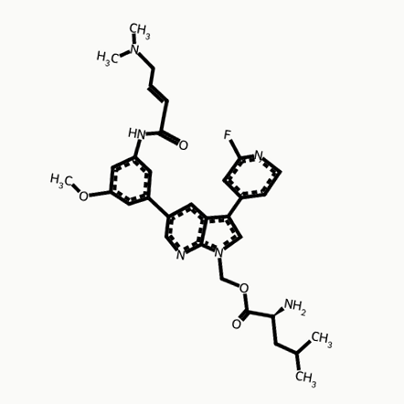 COc1cc(NC(=O)/C=C/CN(C)C)cc(-c2cnc3c(c2)c(-c2ccnc(F)c2)cn3COC(=O)[C@@H](N)CC(C)C)c1